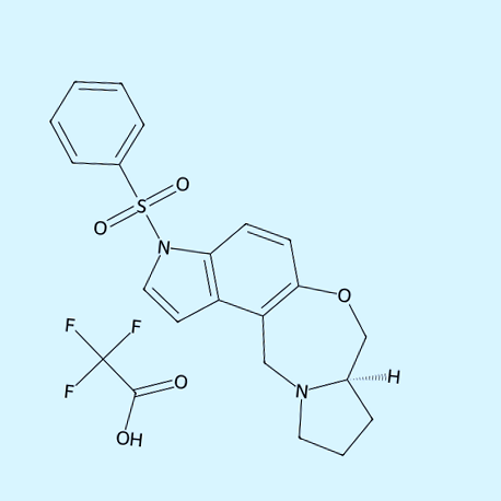 O=C(O)C(F)(F)F.O=S(=O)(c1ccccc1)n1ccc2c3c(ccc21)OC[C@H]1CCCN1C3